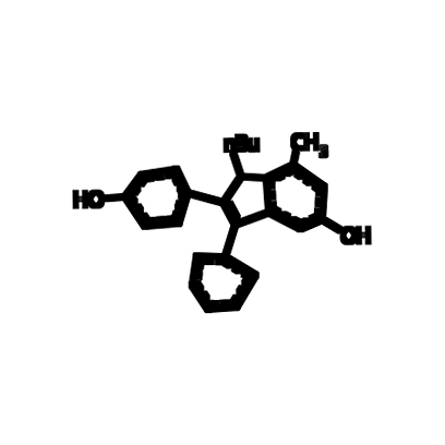 CCCCC1C(c2ccc(O)cc2)=C(c2ccccc2)c2cc(O)cc(C)c21